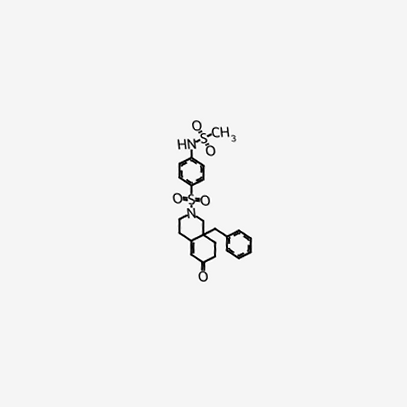 CS(=O)(=O)Nc1ccc(S(=O)(=O)N2CCC3=CC(=O)CCC3(Cc3ccccc3)C2)cc1